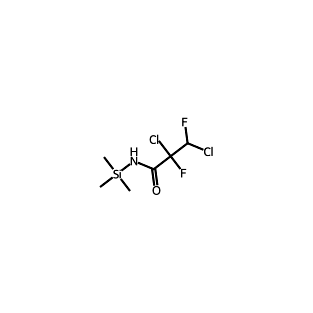 C[Si](C)(C)NC(=O)C(F)(Cl)C(F)Cl